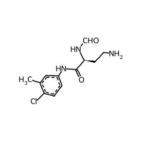 Cc1cc(NC(=O)[C@H](CCN)NC=O)ccc1Cl